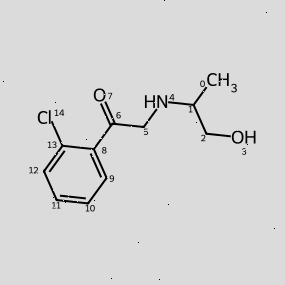 CC(CO)NCC(=O)c1ccccc1Cl